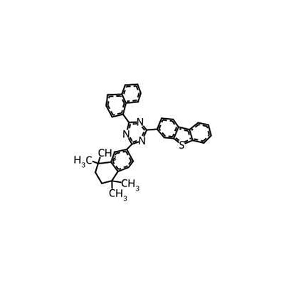 CC1(C)CCC(C)(C)c2cc(-c3nc(-c4ccc5c(c4)sc4ccccc45)nc(-c4cccc5ccccc45)n3)ccc21